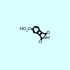 O=C(O)c1ccc2c3c(=O)[nH]c(=O)c=3c2c1